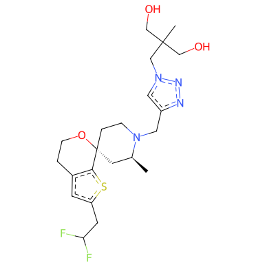 C[C@H]1C[C@@]2(CCN1Cc1cn(CC(C)(CO)CO)nn1)OCCc1cc(CC(F)F)sc12